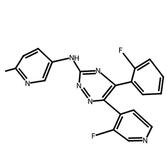 Cc1ccc(Nc2nnc(-c3ccncc3F)c(-c3ccccc3F)n2)cn1